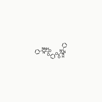 O=C(Oc1cccc(OC(=O)c2nc(-c3ccccc3)n[nH]2)c1)c1nc(-c2ccccc2)n[nH]1